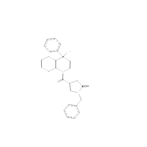 O=C1CC(C(=O)N2CCC(O)(c3ccccc3)C3CCCCC32)CN1Cc1ccccc1